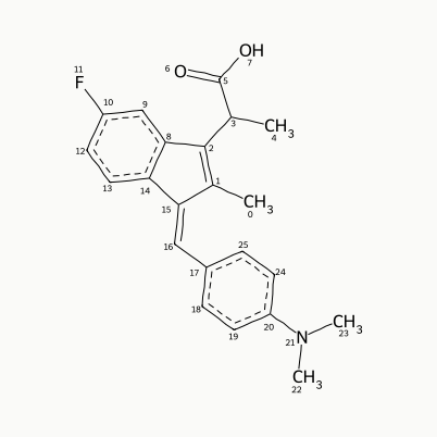 CC1=C(C(C)C(=O)O)c2cc(F)ccc2C1=Cc1ccc(N(C)C)cc1